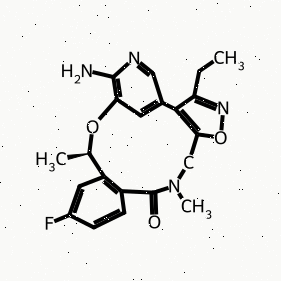 CCc1noc2c1-c1cnc(N)c(c1)O[C@H](C)c1cc(F)ccc1C(=O)N(C)C2